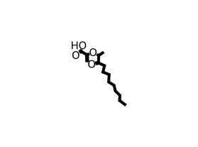 C=C(OC(C)C(=O)CCCCCCCCC)C(=O)O